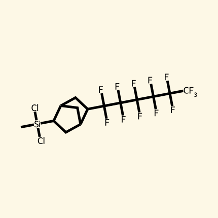 C[Si](Cl)(Cl)C1CC2CC1CC2C(F)(F)C(F)(F)C(F)(F)C(F)(F)C(F)(F)C(F)(F)F